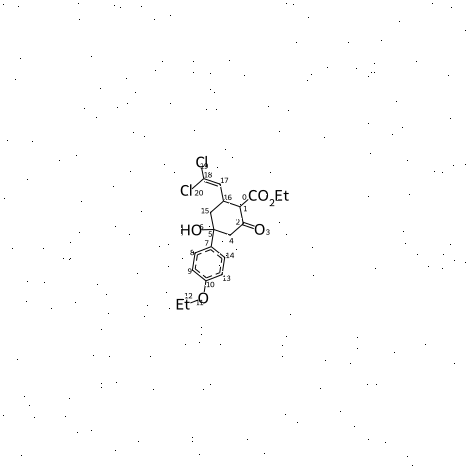 CCOC(=O)C1C(=O)CC(O)(c2ccc(OCC)cc2)CC1C=C(Cl)Cl